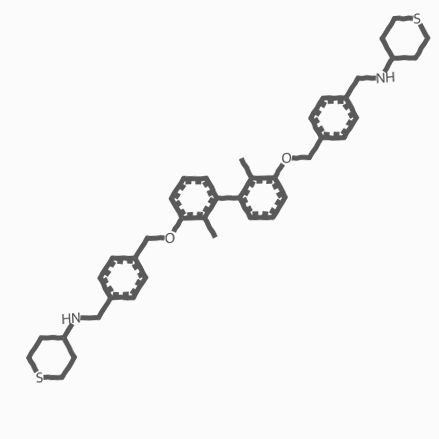 Cc1c(OCc2ccc(CNC3CCSCC3)cc2)cccc1-c1cccc(OCc2ccc(CNC3CCSCC3)cc2)c1C